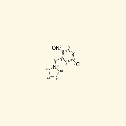 O=Nc1ccc(Cl)cc1CN1CCCC1